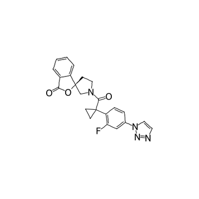 O=C1O[C@]2(CCN(C(=O)C3(c4ccc(-n5ccnn5)cc4F)CC3)C2)c2ccccc21